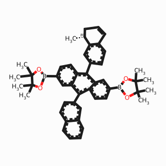 C[C@@H]1CC=Cc2ccc(-c3c4ccc(B5OC(C)(C)C(C)(C)O5)cc4c(-c4ccc5ccccc5c4)c4ccc(B5OC(C)(C)C(C)(C)O5)cc34)cc21